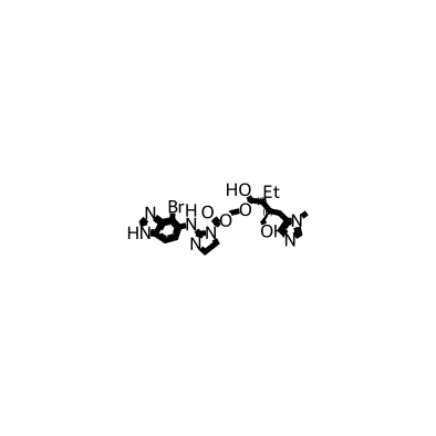 CC[C@H](C(O)OCOC(=O)N1CCN=C1Nc1ccc2[nH]cnc2c1Br)[C@H](CO)Cc1cncn1C